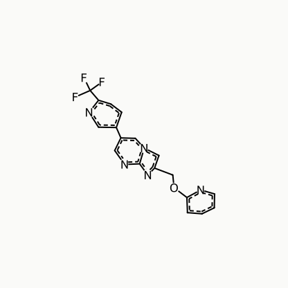 FC(F)(F)c1ccc(-c2cnc3nc(COc4ccccn4)cn3c2)cn1